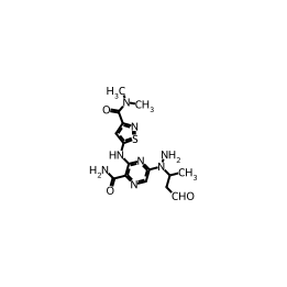 CC(CC=O)N(N)c1cnc(C(N)=O)c(Nc2cc(C(=O)N(C)C)ns2)n1